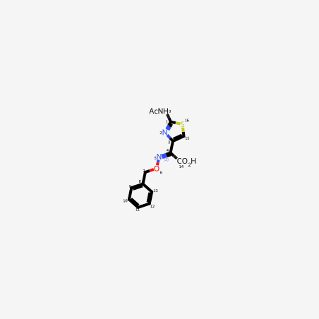 CC(=O)Nc1nc(/C(=N/OCc2ccccc2)C(=O)O)cs1